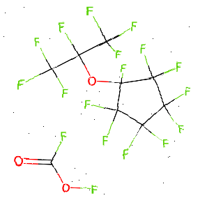 FC(F)(F)C(F)(OC1(F)C(F)(F)C(F)(F)C(F)(F)C1(F)F)C(F)(F)F.O=C(F)OF